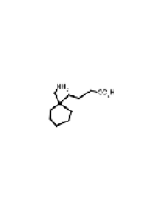 NCC1(CCCC(=O)O)CCCCC1